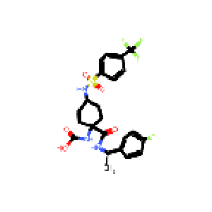 C[C@@H](NC(=O)C1(NC(=O)O)CCC(NS(=O)(=O)c2ccc(C(F)(F)F)cc2)CC1)c1ccc(F)cc1